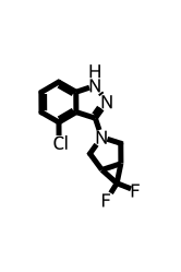 FC1(F)C2CN(c3n[nH]c4cccc(Cl)c34)CC21